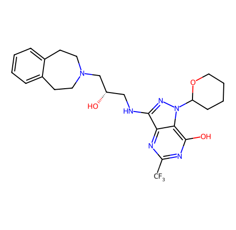 Oc1nc(C(F)(F)F)nc2c(NC[C@H](O)CN3CCc4ccccc4CC3)nn(C3CCCCO3)c12